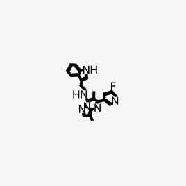 Cc1c(-c2cncc(F)c2)nc2c(C)cnn2c1NCCc1c[nH]c2ccccc12